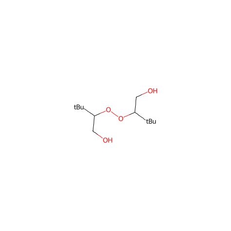 CC(C)(C)C(CO)OOC(CO)C(C)(C)C